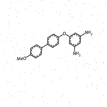 COc1ccc(-c2ccc(Oc3cc(N)cc(N)c3)cc2)cc1